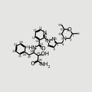 CC1CN(Cc2ccn(-c3ncccc3C(=O)NC(Cc3ccccc3)C(O)C(N)=O)n2)CC(C)O1